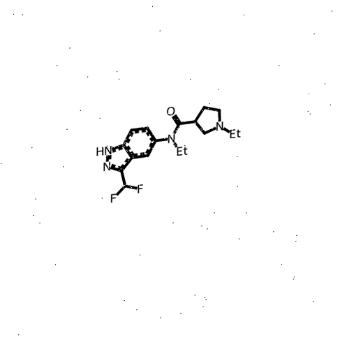 CCN1CCC(C(=O)N(CC)c2ccc3[nH]nc(C(F)F)c3c2)C1